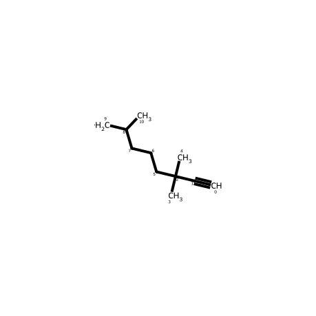 C#CC(C)(C)CCCC([CH2])C